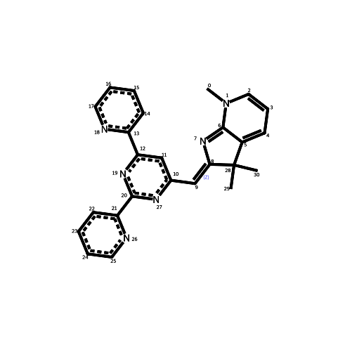 CN1C=CC=C2C1=N/C(=C\c1cc(-c3ccccn3)nc(-c3ccccn3)n1)C2(C)C